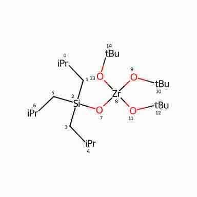 CC(C)C[Si](CC(C)C)(CC(C)C)[O][Zr]([O]C(C)(C)C)([O]C(C)(C)C)[O]C(C)(C)C